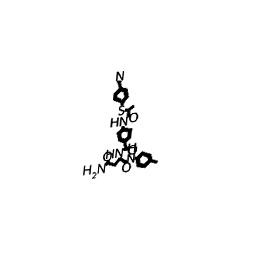 Cc1ccc(NC(=O)C(CC(N)=O)NC(=O)c2ccc(NC(=O)C(C)Sc3ccc(C#N)cc3)cc2)cc1